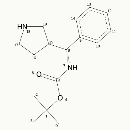 CC(C)(C)OC(=O)N[C@@H](c1ccccc1)C1CCNC1